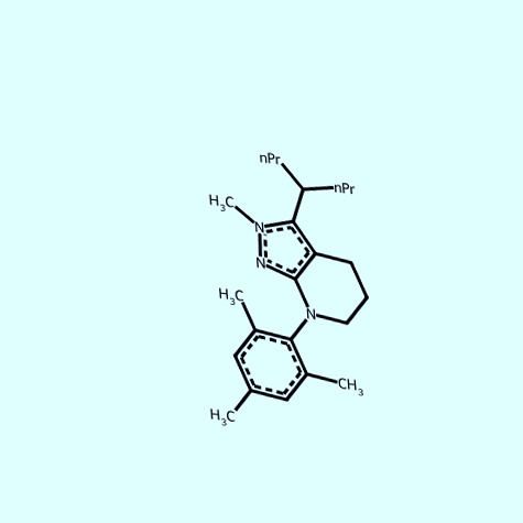 CCCC(CCC)c1c2c(nn1C)N(c1c(C)cc(C)cc1C)CCC2